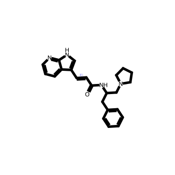 O=C(/C=C/c1c[nH]c2ncccc12)NC(Cc1ccccc1)CN1CCCC1